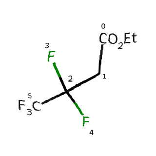 CCOC(=O)CC(F)(F)C(F)(F)F